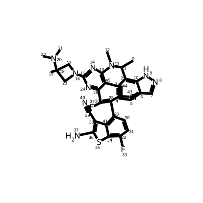 CC(c1cccc2cn[nH]c12)N(C)c1nc(N2CC(C)(N(C)C)C2)nc2c(F)c(-c3ccc(F)c4sc(N)c(C#N)c34)c(Cl)cc12